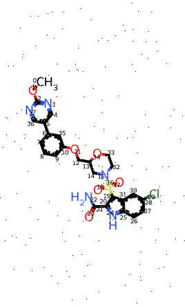 COc1ncc(-c2cccc(OCC3CN(S(=O)(=O)c4c(C(N)=O)[nH]c5ccc(Cl)cc45)CCO3)c2)cn1